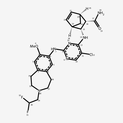 COc1cc2c(cc1Nc1ncc(Cl)c(N[C@H]3[C@@H](C(N)=O)[C@@H]4C=C[C@H]3C4)n1)CCN(CC(F)F)CC2